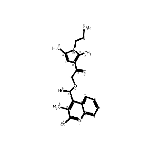 CCc1nc2ccccc2c(C(O)OCC(=O)c2cc(C)n(CCOC)c2C)c1C